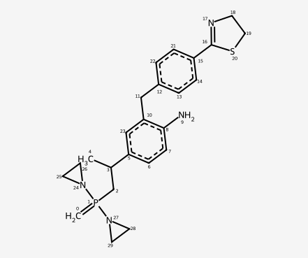 C=P(CC(C)c1ccc(N)c(Cc2ccc(C3=NCCS3)cc2)c1)(N1CC1)N1CC1